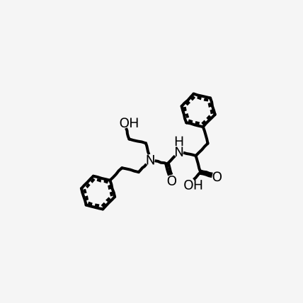 O=C(O)C(Cc1ccccc1)NC(=O)N(CCO)CCc1ccccc1